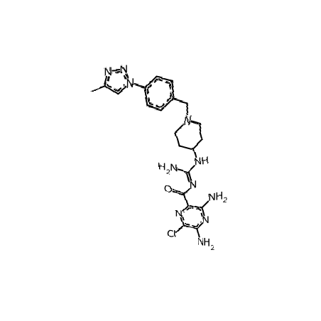 Cc1cn(-c2ccc(CN3CCC(N/C(N)=N/C(=O)c4nc(Cl)c(N)nc4N)CC3)cc2)nn1